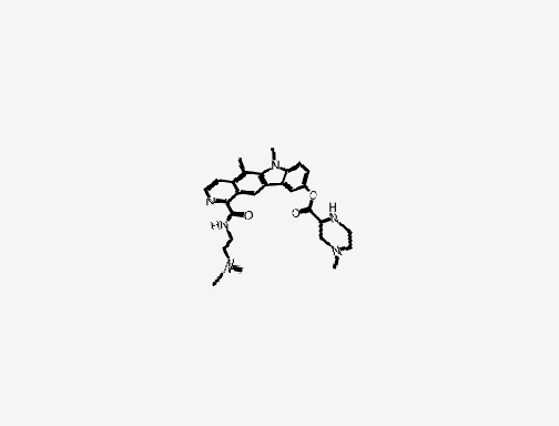 Cc1c2ccnc(C(=O)NCCN(C)C)c2cc2c3cc(OC(=O)C4CN(C)CCN4)ccc3n(C)c12